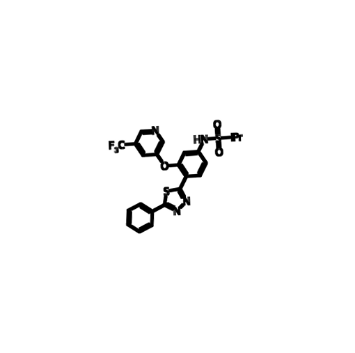 CC(C)S(=O)(=O)Nc1ccc(-c2nnc(-c3ccccc3)s2)c(Oc2cncc(C(F)(F)F)c2)c1